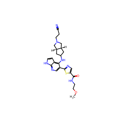 COCCNC(=O)c1cnc(-c2cnc3[nH]ccc3c2NC2C[C@@H]3CN(CCC#N)C[C@@H]3C2)s1